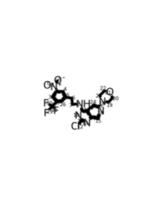 O=[N+]([O-])c1cc(CCNc2nc(Cl)nc3cnc(N4CCOCC4)cc23)cc(C(F)(F)F)c1